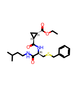 CCOC(=O)[C@H]1C[C@@H]1C(=O)N[C@@H](CSCc1ccccc1)C(=O)NCCC(C)C